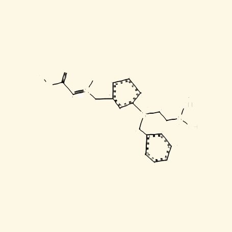 COC(=O)/C=[N+](\[O-])Cc1cccc(N(CCN(C)C)Cc2ccccc2)c1